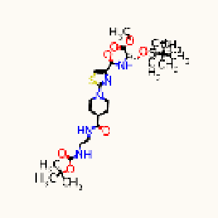 COC(=O)[C@H](CO[Si](C)(C)C(C)(C)C)NC(=O)c1csc(N2CCC(C(=O)NCCNC(=O)OC(C)(C)C)CC2)n1